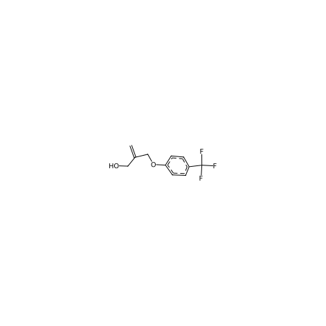 C=C(CO)COc1ccc(C(F)(F)F)cc1